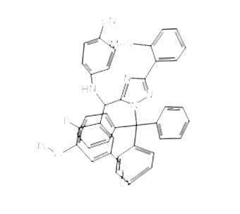 CCOc1cc(OC(C)C)c(F)c(C(Nc2ccc(C#N)cc2)c2nc(-c3ccccc3SC)nn2C(c2ccccc2)(c2ccccc2)c2ccccc2)c1